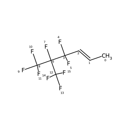 C/C=C/C(F)(F)C(F)(C(F)(F)F)C(F)(F)F